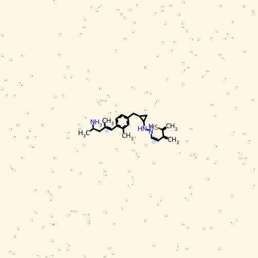 C=C(S)C(=C)/C=C\NNC1CC1Cc1ccc(/C=C(\C)CC(C)N)c(C)c1